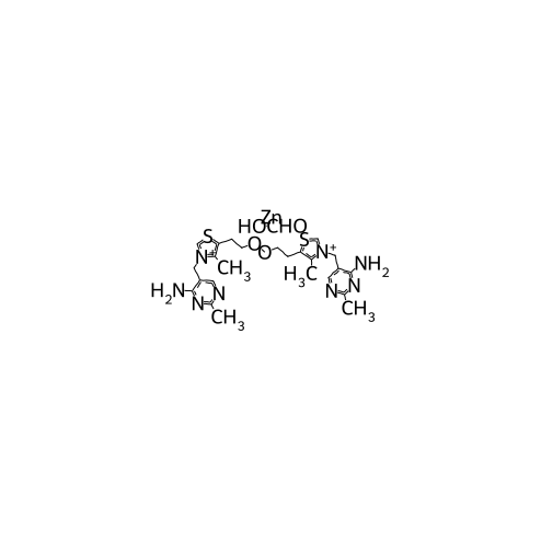 Cc1ncc(C[n+]2csc(CCOOCCc3sc[n+](Cc4cnc(C)nc4N)c3C)c2C)c(N)n1.O=CO.[Zn]